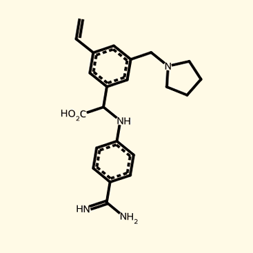 C=Cc1cc(CN2CCCC2)cc(C(Nc2ccc(C(=N)N)cc2)C(=O)O)c1